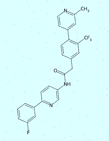 Cc1cc(-c2ccc(CC(=O)Nc3ccc(-c4cccc(F)c4)nc3)cc2C(F)(F)F)ccn1